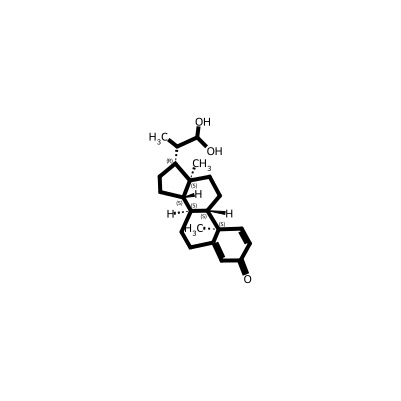 CC(C(O)O)[C@H]1CC[C@H]2[C@@H]3CCC4=CC(=O)C=C[C@]4(C)[C@H]3CC[C@]12C